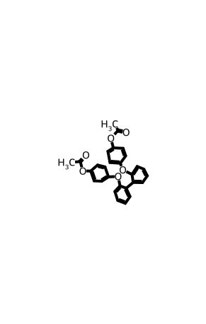 CC(=O)Oc1ccc(Oc2ccccc2-c2ccccc2Oc2ccc(OC(C)=O)cc2)cc1